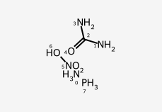 N.NC(N)=O.O=[N+]([O-])O.P